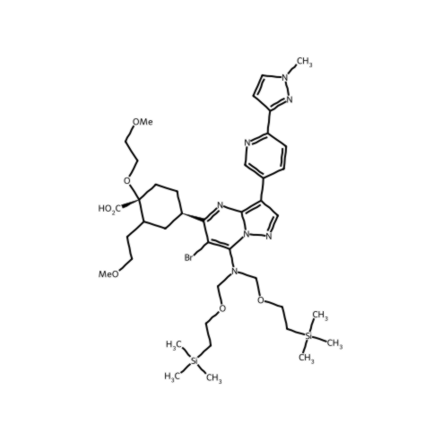 COCCO[C@]1(C(=O)O)CC[C@@H](c2nc3c(-c4ccc(-c5ccn(C)n5)nc4)cnn3c(N(COCC[Si](C)(C)C)COCC[Si](C)(C)C)c2Br)CC1CCOC